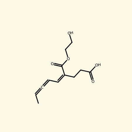 CC=C=CC=C(CCC(=O)O)C(=O)OCCO